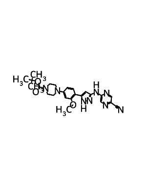 COc1cc(N2CCN(C(=O)OC(C)(C)C)CC2)ccc1-c1cc(Nc2cnc(C#N)cn2)n[nH]1